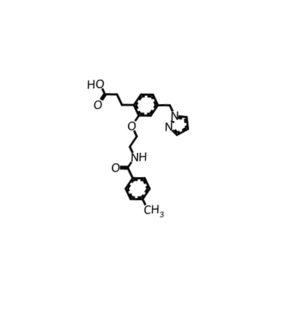 Cc1ccc(C(=O)NCCOc2cc(Cn3cccn3)ccc2CCC(=O)O)cc1